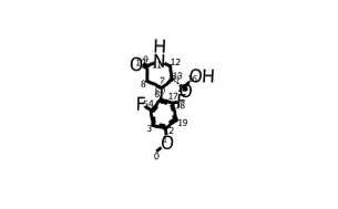 COc1cc(F)c([C@H]2CC(=O)NC[C@@H]2C(=O)O)c(F)c1